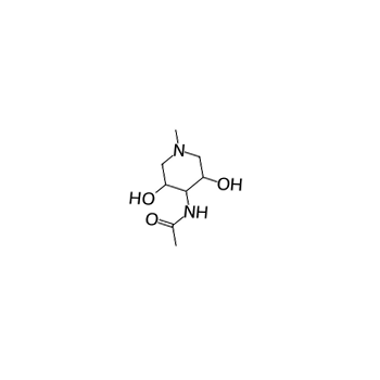 CC(=O)NC1C(O)CN(C)CC1O